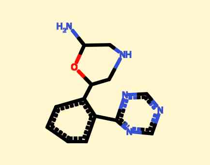 NC1CNCC(c2ccccc2-c2ncncn2)O1